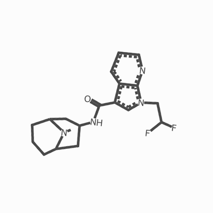 CN1C2CCCC1CC(NC(=O)c1cn(CC(F)F)c3ncccc13)C2